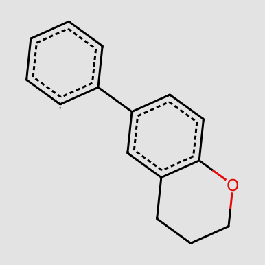 [c]1ccccc1-c1ccc2c(c1)CCCO2